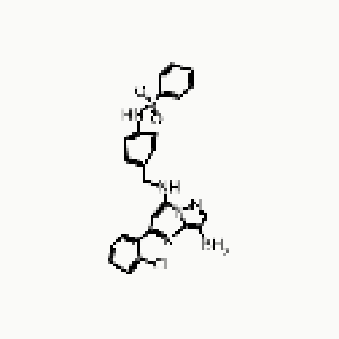 Bc1cnn2c(NCc3ccc(NS(=O)(=O)c4ccccc4)cc3)cc(-c3ccccc3Cl)nc12